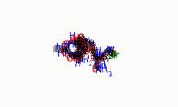 CC[C@H](C)[C@@H]1NC(=O)CNC(=O)[C@H]2Cc3c([nH]c4cc(OC(=O)N(C)CCN(C)C(=O)OCc5ccc(NC(=O)[C@H](CCCNC(N)=O)NC(=O)[C@@H](NC(=O)CCCn6nnc(CBr)c6CBr)C(C)C)cc5)ccc34)[S+]([O-])C[C@H](NC(=O)CNC1=O)C(=O)N[C@@H](CC(N)=O)C(=O)N1C[C@H](O)C[C@H]1C(=O)N[C@@H]([C@@H](C)[C@@H](O)CO)C(=O)N2